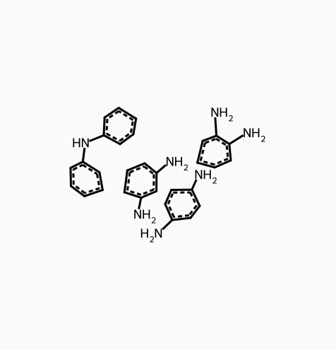 Nc1ccc(N)cc1.Nc1cccc(N)c1.Nc1ccccc1N.c1ccc(Nc2ccccc2)cc1